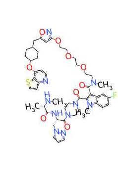 CN[C@@H](C)C(=O)N[C@@H](Cn1cccn1)C(=O)N1CCN(C(=O)c2c(C(=O)N(C)CCOCCOCCOc3cc(CC4CCC(Oc5ccnc6ccsc56)CC4)on3)c3cc(F)ccc3n2C)CC1